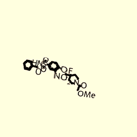 COCC(=O)N1CCC(F)(COc2ccc(S(=O)(=O)NC(=O)c3ccccc3)cc2[N+](=O)[O-])CC1